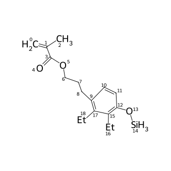 C=C(C)C(=O)OCCCc1ccc(O[SiH3])c(CC)c1CC